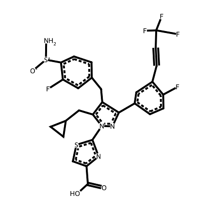 N[S+]([O-])c1ccc(Cc2c(-c3ccc(F)c(C#CC(F)(F)F)c3)nn(-c3nc(C(=O)O)cs3)c2CC2CC2)cc1F